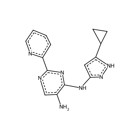 Nc1cnc(-c2ccccn2)nc1Nc1cc(C2CC2)[nH]n1